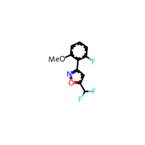 COc1cccc(F)c1-c1cc(C(F)F)on1